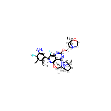 Cc1c(F)c(N)cc(-c2nc3c4c(nc(OC[C@@H]5C[C@@H]6C[N@@]5CCO6)nc4c2F)N2C[C@H]4CC[C@H](N4)[C@H]2[C@H](C)O3)c1C(F)(F)F